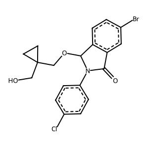 O=C1c2cc(Br)ccc2C(OCC2(CO)CC2)N1c1ccc(Cl)cc1